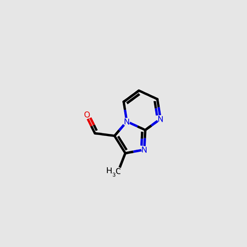 Cc1nc2ncccn2c1C=O